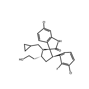 O=C1Nc2cc(Cl)ccc2[C@@]12[C@@H](c1cccc(Cl)c1F)C[C@H](CCO)N2CC1CC1